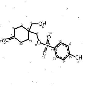 C=C1CCC(CO)(COS(=O)(=O)c2ccc(C)cc2)CC1